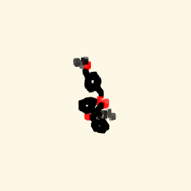 C[C@@](C(=O)OCc1ccc(CO[N+](=O)[O-])cc1)(C(=O)c1ccccc1)c1ccccc1